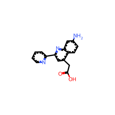 Nc1ccc2c(CC(=O)O)cc(-c3ccccn3)nc2c1